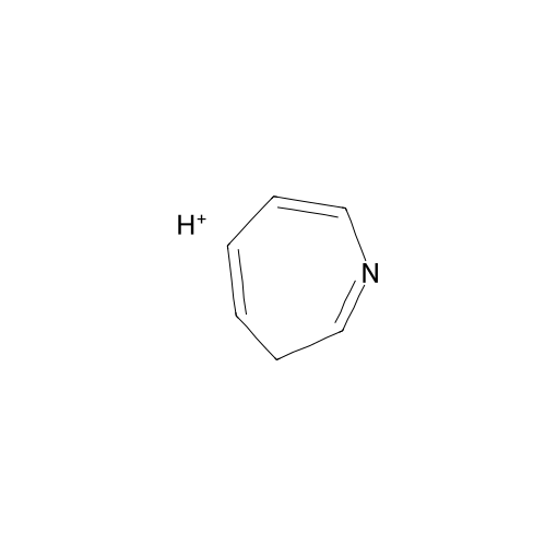 C1=CCC=NC=C1.[H+]